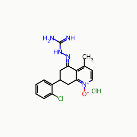 Cc1cc[n+]([O-])c2c1C(=NNC(=N)N)CC(c1ccccc1Cl)C2.Cl